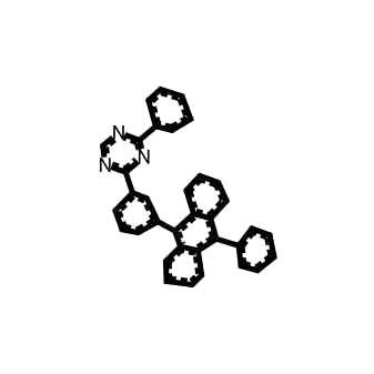 c1ccc(-c2ncnc(-c3cccc(-c4c5ccccc5c(-c5ccccc5)c5ccccc45)c3)n2)cc1